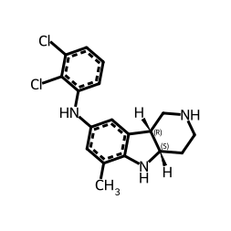 Cc1cc(Nc2cccc(Cl)c2Cl)cc2c1N[C@H]1CCNC[C@@H]21